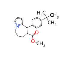 COC(=O)C1CCCn2cccc2C1c1ccc(C(C)(C)C)cc1